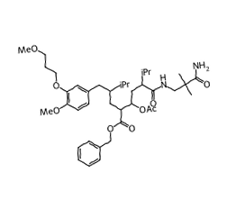 COCCCOc1cc(CC(CC(C(=O)OCc2ccccc2)C(CC(C(=O)NCC(C)(C)C(N)=O)C(C)C)OC(C)=O)C(C)C)ccc1OC